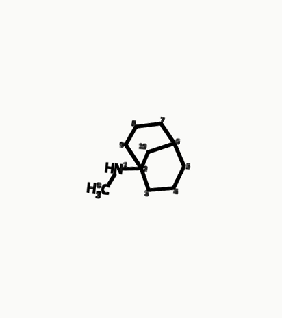 CNC12CCCC(CCC1)C2